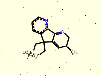 CCOC(=O)CC1(CC(=O)OCC)C2=CC(C)CN=C2c2ncccc21